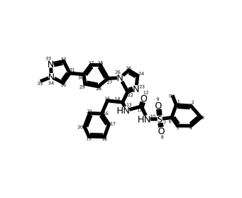 Cc1ccccc1S(=O)(=O)NC(=O)NC(Cc1ccccc1)c1nccn1-c1ccc(-c2cnn(C)c2)cc1